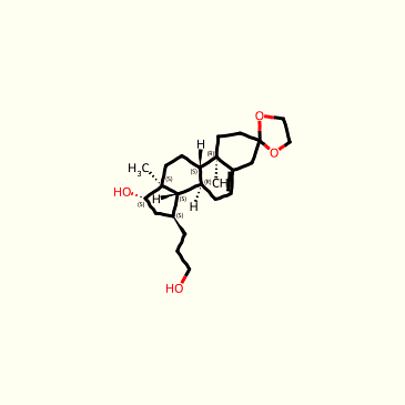 C[C@]12CC[C@H]3[C@@H](CC=C4CC5(CC[C@@]43C)OCCO5)[C@@H]1[C@@H](CCCO)C[C@@H]2O